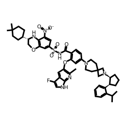 Cc1nc2[nH]cc(F)c2cc1Oc1cc(N2CCC3(CC2)CN([C@H]2CCC[C@H]2c2ccccc2C(C)C)C3)ccc1C(=O)NS(=O)(=O)c1cc2c(c([N+](=O)[O-])c1)N[C@@H](C1CCC(C)(C)CC1)CO2